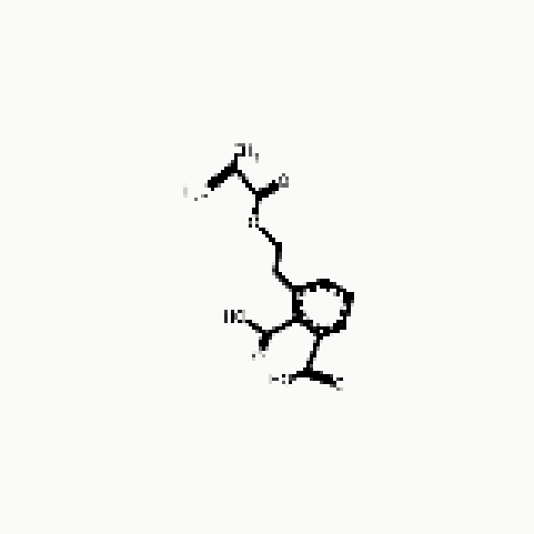 C=C(C)C(=O)OCCc1cccc(C(=O)O)c1C(=O)O